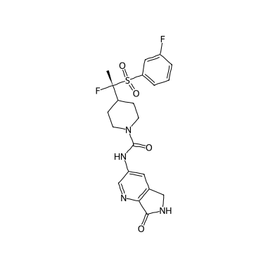 C[C@](F)(C1CCN(C(=O)Nc2cnc3c(c2)CNC3=O)CC1)S(=O)(=O)c1cccc(F)c1